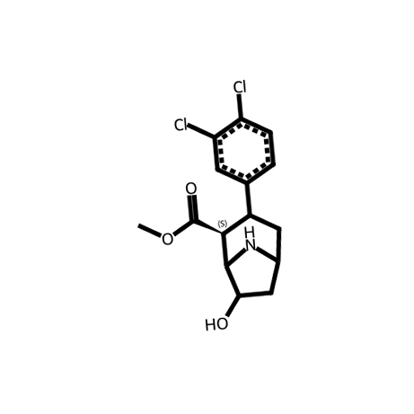 COC(=O)[C@H]1C(c2ccc(Cl)c(Cl)c2)CC2CC(O)C1N2